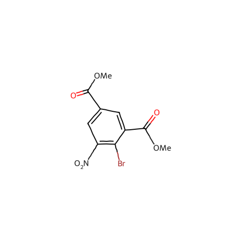 COC(=O)c1cc(C(=O)OC)c(Br)c([N+](=O)[O-])c1